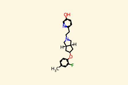 Cc1ccc(O[C@H]2C[C@@H]3CN(CCc4ccc(O)cn4)C[C@@H]3C2)c(F)c1